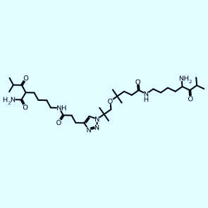 CC(C)C(=O)C(N)CCCCNC(=O)CCC(C)(C)OCC(C)(C)n1cc(CCC(=O)NCCCCC(C(N)=O)C(=O)C(C)C)nn1